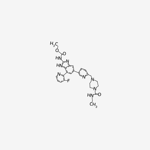 CCNC(=O)N1CCN(Cc2ccc(-c3cc(-c4ncccc4F)c4[nH]c(NC(=O)OCC)nc4c3)cn2)CC1